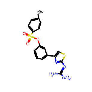 CC(C)(C)c1ccc(S(=O)(=O)Oc2cccc(-c3csc(N=C(N)N)n3)c2)cc1